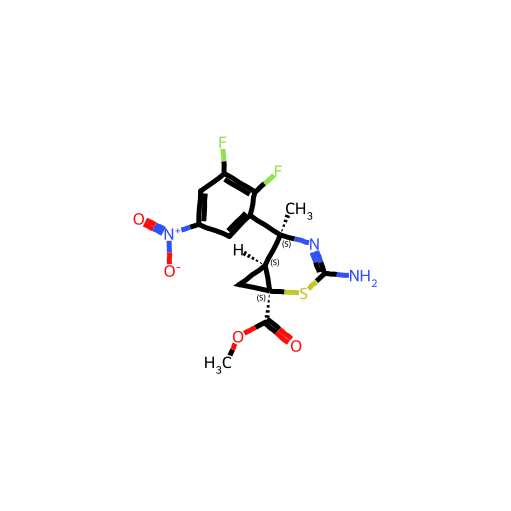 COC(=O)[C@]12C[C@H]1[C@@](C)(c1cc([N+](=O)[O-])cc(F)c1F)N=C(N)S2